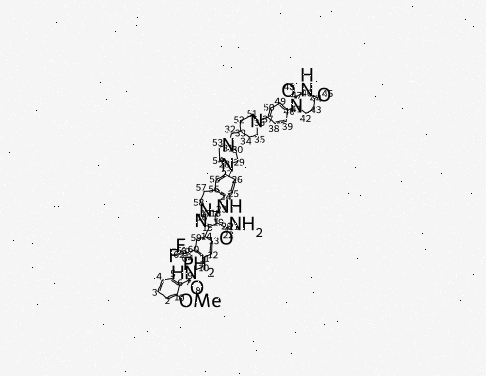 COc1ccccc1C(=O)NCc1ccc(-c2nn3c(c2C(N)=O)Nc2ccc(N4CCN(CC5CCN(c6ccc(N7CCC(=O)NC7=O)cc6)CC5)CC4)cc2CC3)cc1C(F)(F)P